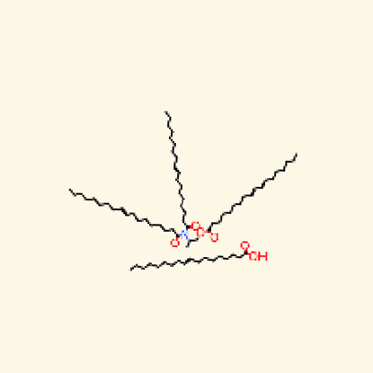 CCCCCCCCC=CCCCCCCCC(=O)O.CCCCCCCCC=CCCCCCCCC(=O)OCC(C)N(C(=O)CCCCCCCC=CCCCCCCCC)C(=O)CCCCCCCC=CCCCCCCCC